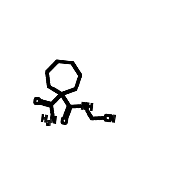 N#CCNC(=O)C1(C(N)=O)CCCCCC1